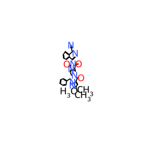 CC(C)(C)c1cc(C(=O)N2CC3CC2C2C(=O)N(c4cnc(C#N)c5ccccc45)C(=O)N32)n(Cc2ccccc2)n1